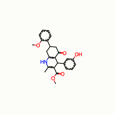 COC(=O)C1=C(C)NC2=C(C(=O)CC(c3ccccc3OC)C2)C1c1cccc(O)c1